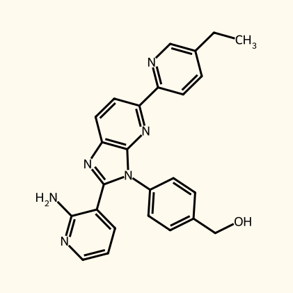 CCc1ccc(-c2ccc3nc(-c4cccnc4N)n(-c4ccc(CO)cc4)c3n2)nc1